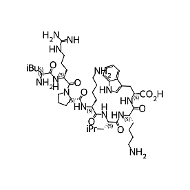 CC[C@H](C)[C@H](N)C(=O)N[C@@H](CCCNC(=N)N)C(=O)N1CCC[C@H]1C(=O)N[C@@H](CCCCN)C(=O)N[C@@H](CC(C)C)C(=O)N[C@@H](CCCCN)C(=O)N[C@@H](Cc1c[nH]c2ccccc12)C(=O)O